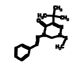 CSN1CN(N=Cc2ccccc2)C(=O)C(C(C)(C)C)=N1